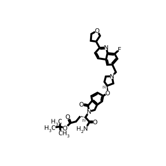 CC(C)(C)OC(=O)CC[C@@H](C(N)=O)N1Cc2cc(O[C@H]3CCN(Cc4cc(F)c5nc(C6CCOC6)ccc5c4)C3)ccc2C1=O